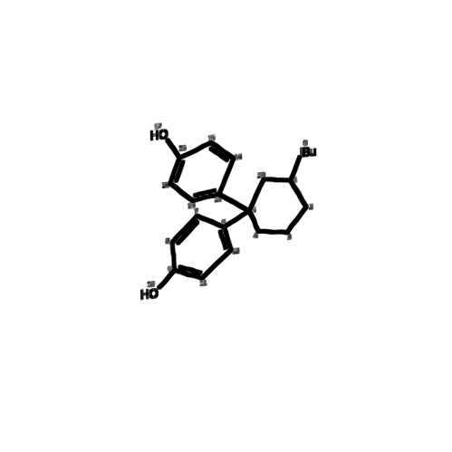 CCC(C)C1CCCC(c2ccc(O)cc2)(c2ccc(O)cc2)C1